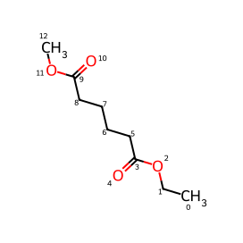 CCOC(=O)CCCCC(=O)OC